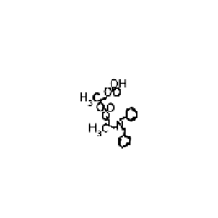 CC(COC(=O)OC(C)COC(=O)O)CN(Cc1ccccc1)Cc1ccccc1